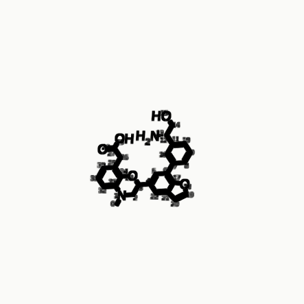 CN1CC(c2cc(-c3cccc([C@H](N)CO)c3)c3occc3c2)Oc2c(CC(=O)O)cccc21